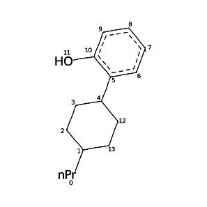 CCCC1CCC(c2c[c]ccc2O)CC1